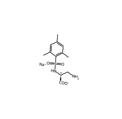 Cc1cc(C)c(S(=O)(=O)N[C@@H](CN)C(=O)[O-])c(C)c1.[Na+]